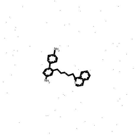 Nc1ccc(-c2ccc(N)cc2CCCCCc2cccc3ccccc23)cc1